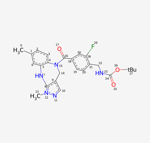 Cc1ccc2c(c1)Nc1c(cnn1C)CN2C(=O)c1ccc(CNC(=O)OC(C)(C)C)c(F)c1